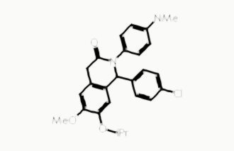 CNc1ccc(N2C(=O)Cc3cc(OC)c(OC(C)C)cc3C2c2ccc(Cl)cc2)cc1